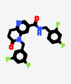 O=C(NCc1ccc(F)cc1F)c1cnc2c(c1)N(Cc1cc(F)cc(F)c1)C(=O)CC2